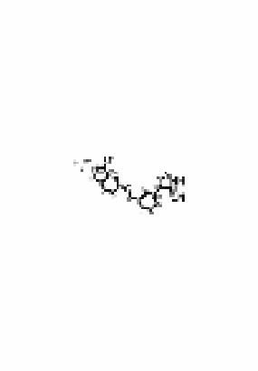 CN1Cc2ccc(OCc3cccc(-c4nn[nH]c4C#N)c3)cc2C1=O